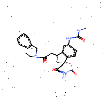 CCN(Cc1ccccc1)C(=O)CC1C[C@@]2(OC(=O)NC2=O)c2ccc(NC(=O)NC)cc21